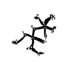 CCCCOP(=O)(OCCCC)OP(C)(CC)(CCC)CCCC